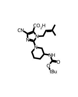 [C-]#[N+]c1nc(N2CCCC(NC(=O)OC(C)(C)C)C2)n(CC=C(C)C)c1C(=O)O